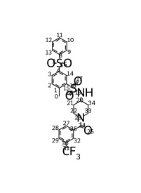 Cc1ccc(S(=O)(=O)c2ccccc2)cc1S(=O)(=O)NC1CCN(C(=O)c2cccc(C(F)(F)F)c2)CC1